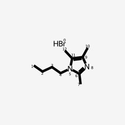 Br.CCCCn1c(C)nc(C)c1C